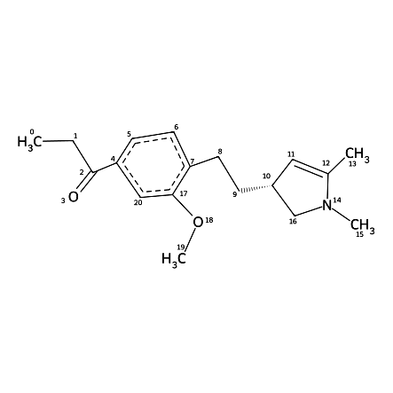 CCC(=O)c1ccc(CC[C@@H]2C=C(C)N(C)C2)c(OC)c1